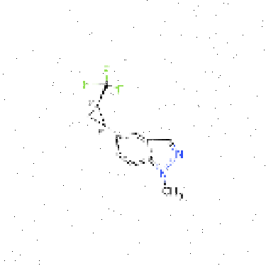 Cn1ncc2cc([C@@H]3C[C@H]3C(F)(F)F)ccc21